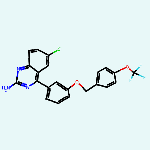 Nc1nc(-c2cccc(OCc3ccc(OC(F)(F)F)cc3)c2)c2cc(Cl)ccc2n1